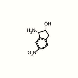 N[C@H]1c2cc([N+](=O)[O-])ccc2C[C@H]1O